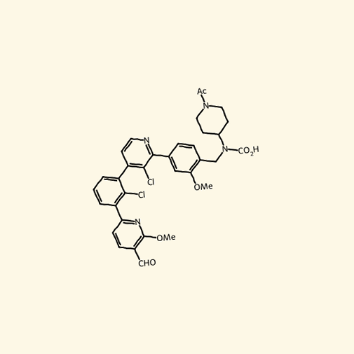 COc1cc(-c2nccc(-c3cccc(-c4ccc(C=O)c(OC)n4)c3Cl)c2Cl)ccc1CN(C(=O)O)C1CCN(C(C)=O)CC1